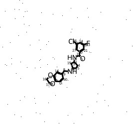 O=C(N[C@H]1CC[C@H](NCc2ccc3c(c2)OCCO3)C1)c1cc(F)cc(Cl)c1